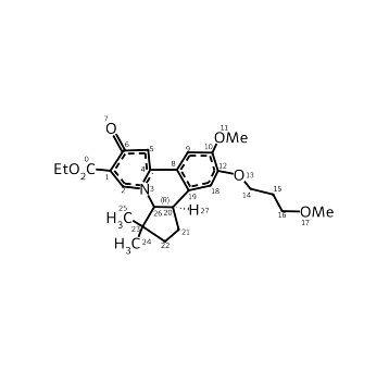 CCOC(=O)c1cn2c(cc1=O)-c1cc(OC)c(OCCCOC)cc1[C@H]1CCC(C)(C)C12